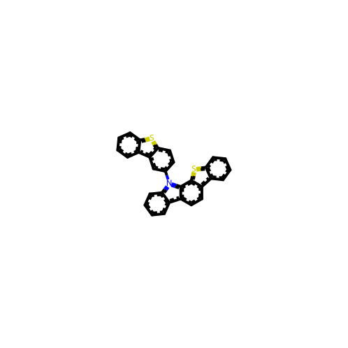 c1ccc2c(c1)sc1ccc(-n3c4ccccc4c4ccc5c6ccccc6sc5c43)cc12